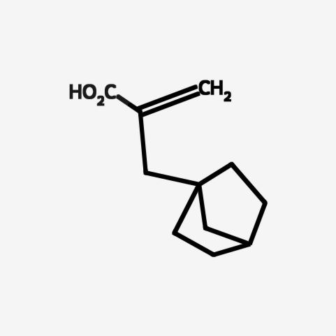 C=C(CC12CCC(CC1)C2)C(=O)O